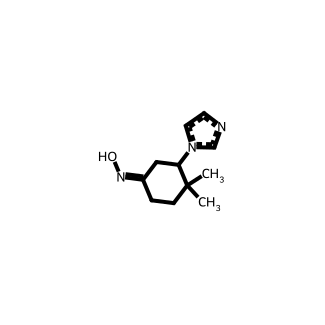 CC1(C)CCC(=NO)CC1n1ccnc1